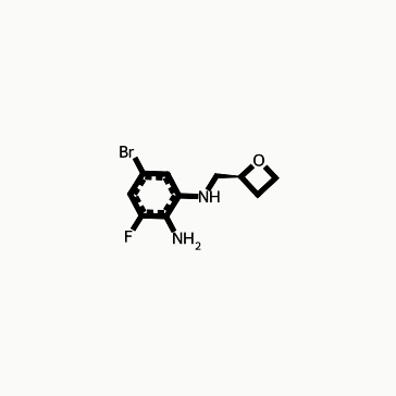 Nc1c(F)cc(Br)cc1NC[C@@H]1CCO1